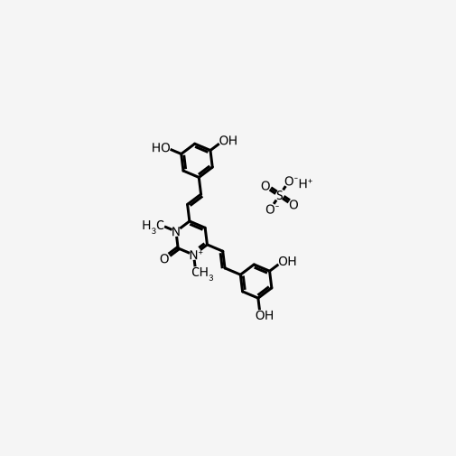 Cn1c(/C=C/c2cc(O)cc(O)c2)cc(/C=C/c2cc(O)cc(O)c2)[n+](C)c1=O.O=S(=O)([O-])[O-].[H+]